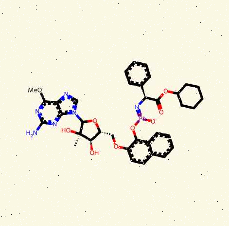 COc1nc(N)nc2c1ncn2C1O[C@H](COc2ccc3ccccc3c2O/[P+]([O-])=N/[C@H](C(=O)OC2CCCCC2)c2ccccc2)[C@@H](O)[C@@]1(C)O